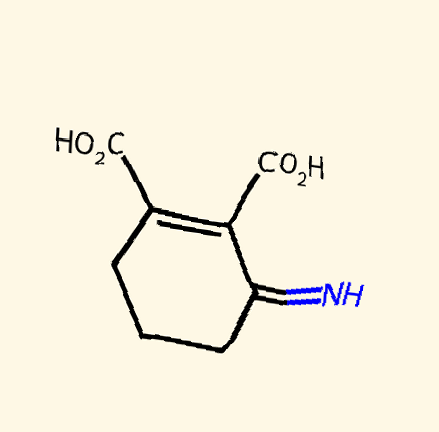 N=C1CCCC(C(=O)O)=C1C(=O)O